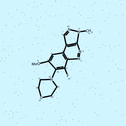 COc1cc2c(nnc3c2cnn3C)c(F)c1N1CCOCC1